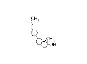 CCCCc1ccc(-c2ccc3c(c2)N(C)C(O)C=C3)cc1